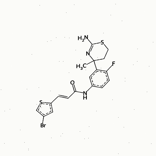 CC1(c2cc(NC(=O)/C=C/c3cc(Br)cs3)ccc2F)CCSC(N)=N1